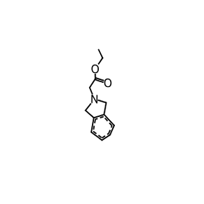 CCOC(=O)CN1Cc2ccccc2C1